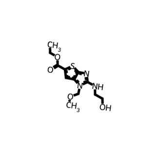 CCOC(=O)c1cc2c(nc(NCCO)n2COC)s1